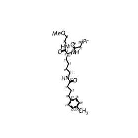 COCCNC(=O)[C@H](CCCCNC(=O)CCCc1ccc(C)cc1)NC(=O)CC(C)C